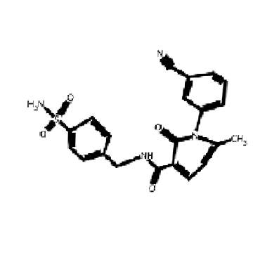 Cc1ccc(C(=O)NCc2ccc(S(N)(=O)=O)cc2)c(=O)n1-c1cccc(C#N)c1